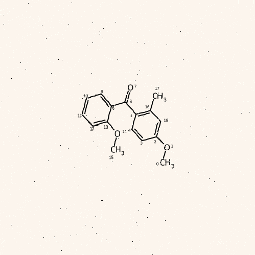 COc1ccc(C(=O)c2ccccc2OC)c(C)c1